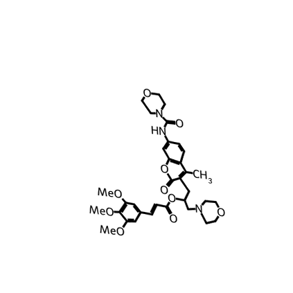 COc1cc(C=CC(=O)OC(Cc2c(C)c3ccc(NC(=O)N4CCOCC4)cc3oc2=O)CN2CCOCC2)cc(OC)c1OC